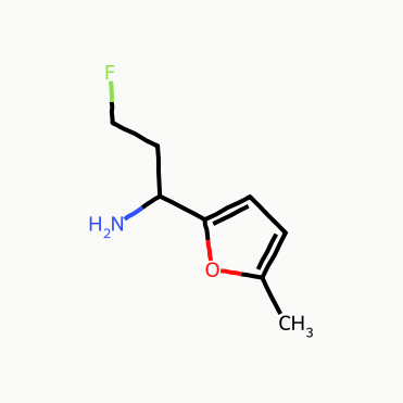 Cc1ccc(C(N)CCF)o1